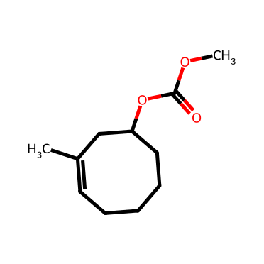 COC(=O)OC1CCCC/C=C(/C)C1